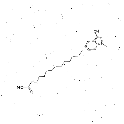 CCCCCCCCCCCCCC(=O)O.Cn1cc(O)c2ccccc21